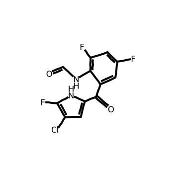 O=CNc1c(F)cc(F)cc1C(=O)c1cc(Cl)c(F)[nH]1